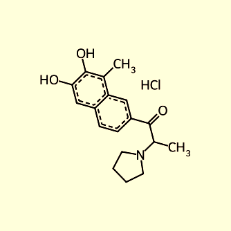 Cc1c(O)c(O)cc2ccc(C(=O)C(C)N3CCCC3)cc12.Cl